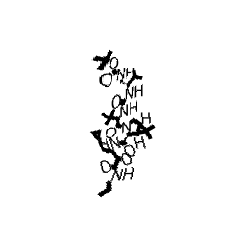 C=CCNC(=O)C(=O)C(CC1CC1)NC(=O)[C@@H]1[C@@H]2[C@H](CN1C(=O)[C@@H](NC(=O)N[C@H](CNC(=O)OC(C)(C)C)C(C)C)C(C)(C)C)C2(C)C